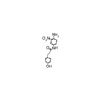 Nc1ccc(NC(=O)CCc2ccc(O)cc2)cc1[N+](=O)[O-]